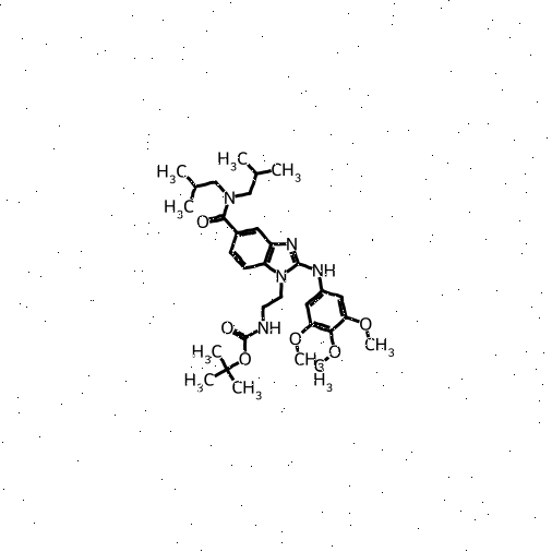 COc1cc(Nc2nc3cc(C(=O)N(CC(C)C)CC(C)C)ccc3n2CCNC(=O)OC(C)(C)C)cc(OC)c1OC